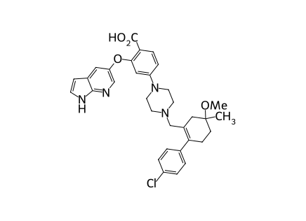 COC1(C)CCC(c2ccc(Cl)cc2)=C(CN2CCN(c3ccc(C(=O)O)c(Oc4cnc5[nH]ccc5c4)c3)CC2)C1